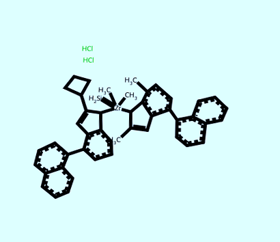 CC1=Cc2c(-c3cccc4ccccc34)ccc(C)c2[CH]1[Zr]([CH3])([CH3])(=[SiH2])[CH]1C(C2CCC2)=Cc2c(-c3cccc4ccccc34)cccc21.Cl.Cl